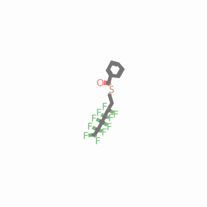 O=C(SCCC(F)(F)C(F)(F)C(F)(F)C(F)(F)C(F)F)c1ccccc1